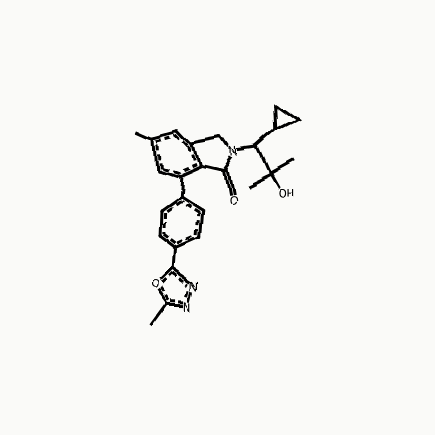 Cc1cc2c(c(-c3ccc(-c4nnc(C)o4)cc3)c1)C(=O)N(C(C1CC1)C(C)(C)O)C2